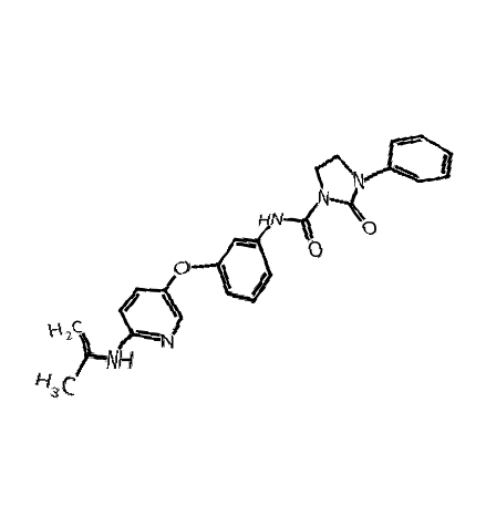 C=C(C)Nc1ccc(Oc2cccc(NC(=O)N3CCN(c4ccccc4)C3=O)c2)cn1